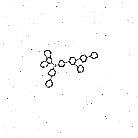 c1ccc(-c2ccc(-c3ccc(-c4ccc(N(c5ccc(-c6ccccc6)cc5)c5cc6ccccc6c6ccccc56)cc4)cc3-c3ccccc3)cc2)cc1